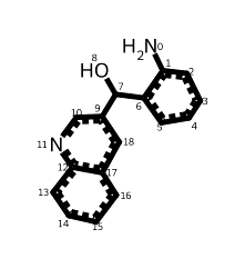 Nc1ccccc1C(O)c1cnc2ccccc2c1